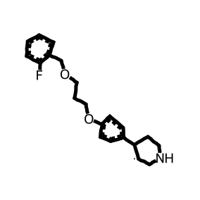 Fc1ccccc1COCCCOc1ccc(C2[CH]CNCC2)cc1